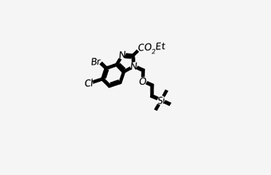 CCOC(=O)c1nc2c(Br)c(Cl)ccc2n1COCC[Si](C)(C)C